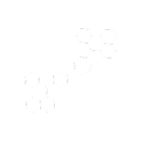 C1#CC(N(c2ccccc2)c2cccc3ccccc23)=CC=C(c2ccc(N(c3ccccc3)c3cccc4ccccc34)cc2)C1